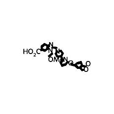 COCCn1c(CN2CCC(c3cccc(OCc4ccc5c(c4)COC5=O)n3)CC2)nc2ccc(C(=O)O)cc21